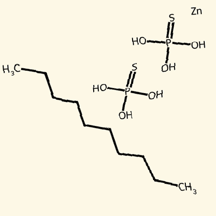 CCCCCCCCCC.OP(O)(O)=S.OP(O)(O)=S.[Zn]